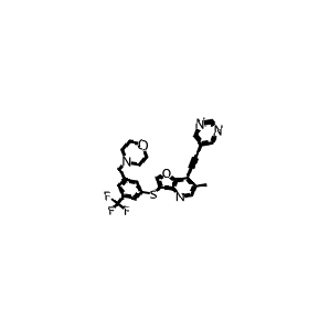 Cc1cnc2c(Sc3cc(CN4CCOCC4)cc(C(F)(F)F)c3)coc2c1C#Cc1cncnc1